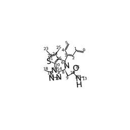 C=C/C=C(\C=C)C1=N[C@@H](CC(=O)NC)c2nnc(C)n2-c2sc(C)c(C)c21